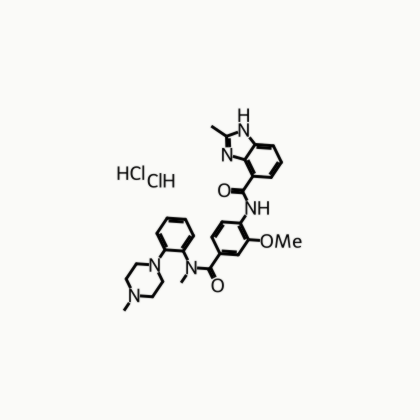 COc1cc(C(=O)N(C)c2ccccc2N2CCN(C)CC2)ccc1NC(=O)c1cccc2[nH]c(C)nc12.Cl.Cl